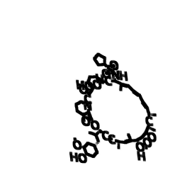 CO[C@@H]1C[C@H](CC(C)[C@@H]2CC[C@H](C)/C=C(\C)[C@@H](O)[C@@H](OC)C(=O)[C@H](C)C[C@H](C)/C=C/C=C/C=C(\C)[C@H](NS(=O)(=O)C3CCCC3)C[C@@H]3CC[C@@H](C)[C@@](O)(O3)C(=O)CN3CCCC[C@H]3C(=O)O2)CC[C@H]1O